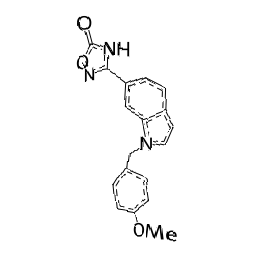 COc1ccc(Cn2ccc3ccc(-c4noc(=O)[nH]4)cc32)cc1